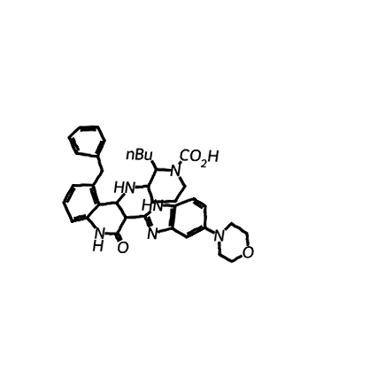 CCCCC1C(NC2c3c(Cc4ccccc4)cccc3NC(=O)C2c2nc3cc(N4CCOCC4)ccc3[nH]2)CCCN1C(=O)O